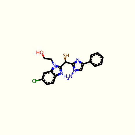 Nn1cc(-c2ccccc2)nc1C(S)c1nc2ccc(Cl)cc2n1CCO